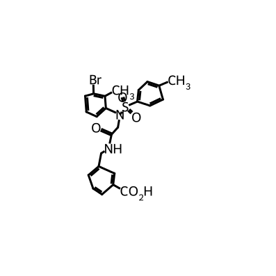 Cc1ccc(S(=O)(=O)N(CC(=O)NCc2cccc(C(=O)O)c2)c2cccc(Br)c2C)cc1